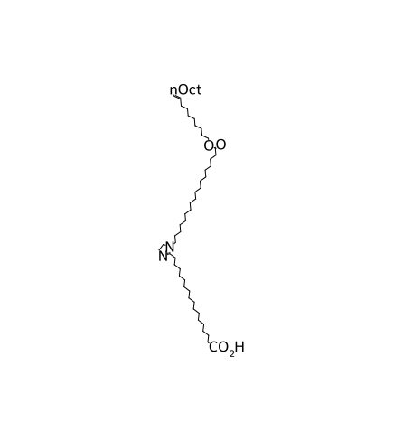 CCCCCCCCC=CCCCCCCCCOC(=O)CCCCCCCCCCCCCCCCCN1CCN=C1CCCCCCCCCCCCCCCCC(=O)O